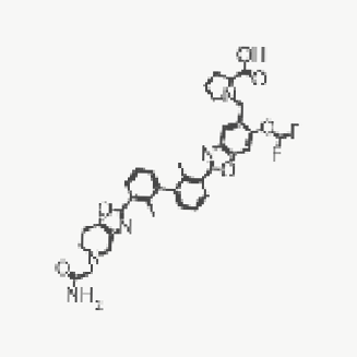 Cc1c(-c2nc3c(o2)CCN(CC(N)=O)C3)cccc1-c1cccc(-c2nc3cc(CN4CCCC4C(=O)O)c(OC(F)F)cc3o2)c1C